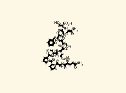 CSCC[C@H](NC(=O)[C@H](CC(C)C)NC(=O)[C@@H]1CCCN1C(=O)[C@@H]1CCCN1C(=O)CNC(=O)[C@@H](N)CCC(N)=O)C(=O)N[C@@H](CO)C(=O)N[C@@H](Cc1ccccc1)C(=O)N[C@@H](CCC(N)=O)C(=O)N[C@@H](CO)C(=O)O